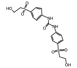 O=C(Nc1ccc(S(=O)(=O)CCO)cc1)Nc1ccc(S(=O)(=O)CCO)cc1